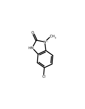 C[N+]1C(=O)Nc2cc(Cl)ccc21